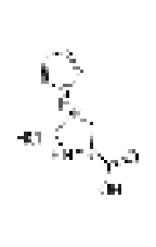 Cl.O=C(O)[C@@H]1C[C@H]([SH]2C=CC=C2)CN1